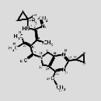 C=N/C(NC1(C)CC1)=C(\C)C(C(=O)N1Cc2nc(C3CC3)nc(OC)c2C1)=C(C)C